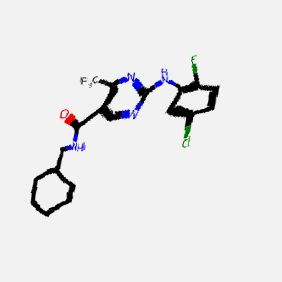 O=C(NCC1CCCCC1)c1cnc(Nc2cc(Cl)ccc2F)nc1C(F)(F)F